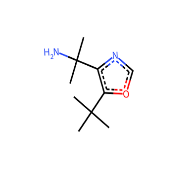 CC(C)(C)c1ocnc1C(C)(C)N